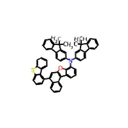 CC1(C)c2ccccc2-c2ccc(N(c3ccc4c(c3)C(C)(C)c3ccccc3-4)c3cccc4c3oc3cc(-c5cccc6sc7ccccc7c56)c5ccccc5c34)cc21